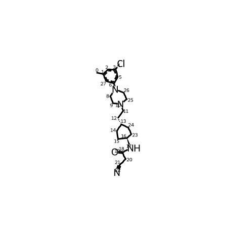 Cc1cc(Cl)cc(N2CCN(CC[C@H]3CC[C@H](NC(=O)CC#N)CC3)CC2)c1